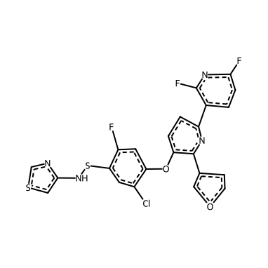 Fc1ccc(-c2ccc(Oc3cc(F)c(SNc4cscn4)cc3Cl)c(-c3ccoc3)n2)c(F)n1